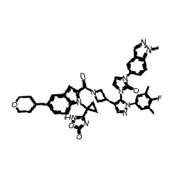 Cc1cc(-n2ncc(C3CN(C(=O)c4cc5cc(C6CCOCC6)ccc5n4C4(c5nc(=O)o[nH]5)CC4)C3)c2-n2ccn(-c3ccc4c(cnn4C)c3)c2=O)cc(C)c1F